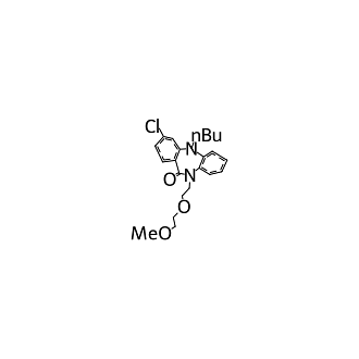 [CH2]CCCN1c2cc(Cl)ccc2C(=O)N(CCOCCOC)c2ccccc21